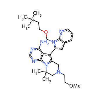 COCCN1Cc2c(-c3cc4cccnc4n3COCC[Si](C)(C)C)c3c(N)ncnc3n2C(C)(C)C1